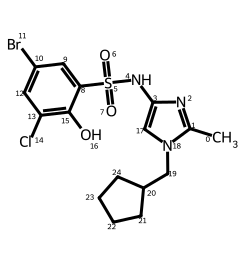 Cc1nc(NS(=O)(=O)c2cc(Br)cc(Cl)c2O)cn1CC1CCCC1